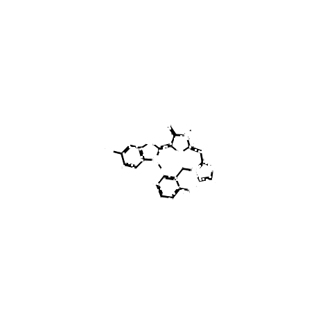 C=C1/C(=C2\Sc3cc(F)ccc3N2C)S/C(=C\c2scc[n+]2Cc2ccccc2C(F)(F)F)N1CC